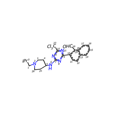 CC(C)CN1CCC(Nc2nc(-c3ccc4ccccc4c3C=O)nc(C(Cl)(Cl)Cl)n2)CC1